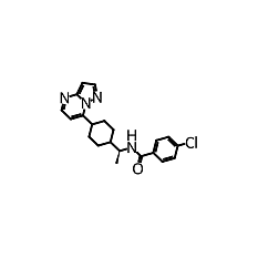 C[C@H](NC(=O)c1ccc(Cl)cc1)C1CCC(c2ccnc3ccnn23)CC1